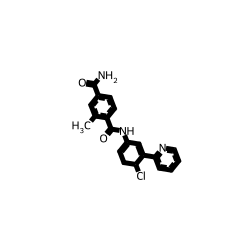 Cc1cc(C(N)=O)ccc1C(=O)NC1=CCC(Cl)C(c2ccccn2)=C1